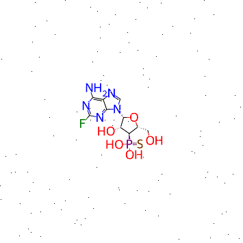 Nc1nc(F)nc2c1ncn2[C@@H]1O[C@H](CO)[C@@H](P(O)(O)=S)[C@@H]1O